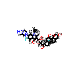 COc1c(N2CCNC(C)C2)c(F)c(C)c2c(=O)c(C(=O)OC(C)(C)C(=O)[C@@]3(OC(C)=O)[C@@H](C)C[C@H]4[C@@H]5CCC6=CC(=O)C=C[C@]6(C)[C@@]5(F)[C@@H](O)C[C@@]43C)c(C)n(C3CC3)c12